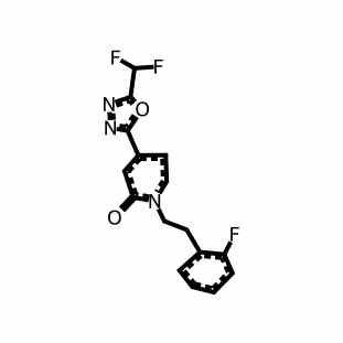 O=c1cc(-c2nnc(C(F)F)o2)ccn1CCc1ccccc1F